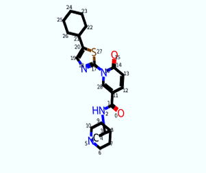 O=C(NC1CN2CCC1CC2)c1ccc(=O)n(-c2ncc(C3CCCCC3)s2)c1